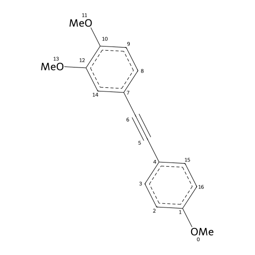 COc1ccc(C#Cc2ccc(OC)c(OC)c2)cc1